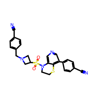 N#Cc1ccc(CN2CC(S(=O)(=O)N3CCSc4c(-c5ccc(C#N)cc5)cncc43)C2)cc1